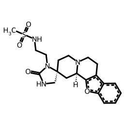 CS(=O)(=O)NCCN1C(=O)NC[C@@]12CCN1CCc3c(oc4ccccc34)[C@H]1C2